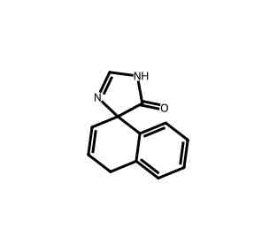 O=C1NC=NC12C=CCc1ccccc12